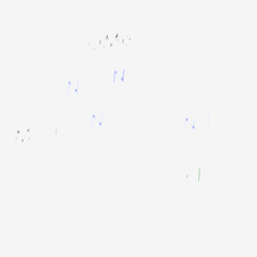 COc1nc(OC)nc(C(F)c2cccc(Cl)c2N)n1